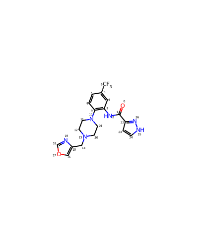 O=C(Nc1cc(C(F)(F)F)ccc1N1CCN(Cc2cocn2)CC1)c1cc[nH]n1